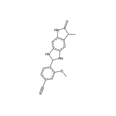 COc1cc(C#N)ccc1C1Nc2cc3c(cc2N1)C(C)C(=O)N3